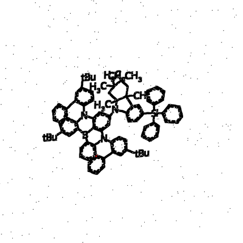 CC(C)(C)c1ccc2c(c1)B1c3ccccc3N(c3ccc(C(C)(C)C)cc3-c3ccccc3)c3cc(N4c5ccc([Si](c6ccccc6)(c6ccccc6)c6ccccc6)cc5C5(C)CC(C)(C)C(C)(C)CC45C)cc(c31)N2c1ccc(C(C)(C)C)cc1-c1ccccc1